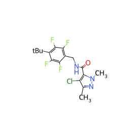 Cc1nn(C)c(C(=O)NCc2c(F)c(F)c(C(C)(C)C)c(F)c2F)c1Cl